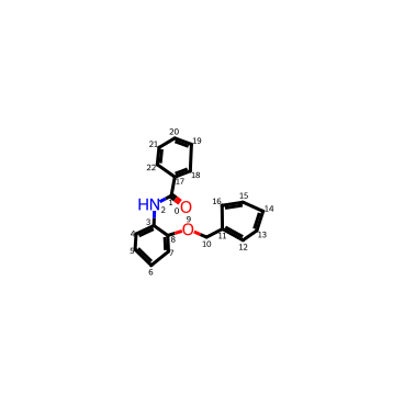 O=C(Nc1ccccc1OCc1ccccc1)c1ccccc1